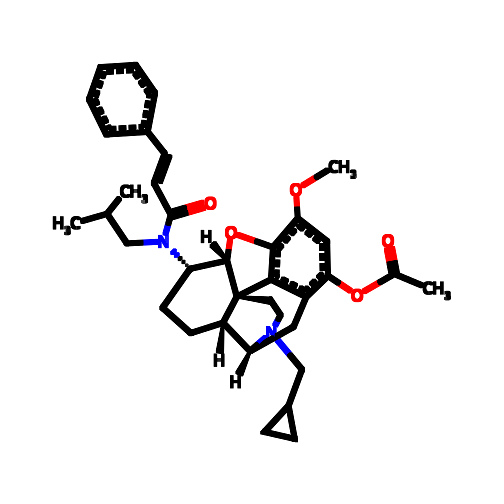 COc1cc(OC(C)=O)c2c3c1O[C@H]1[C@@H](N(CC(C)C)C(=O)C=Cc4ccccc4)CC[C@H]4[C@@H](C2)N(CC2CC2)CC[C@@]341